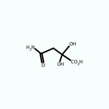 NC(=O)CC(O)(O)C(=O)O